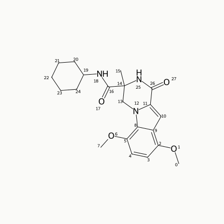 COc1ccc(OC)c2c1cc1n2CC(C)(C(=O)NC2CCCCC2)NC1=O